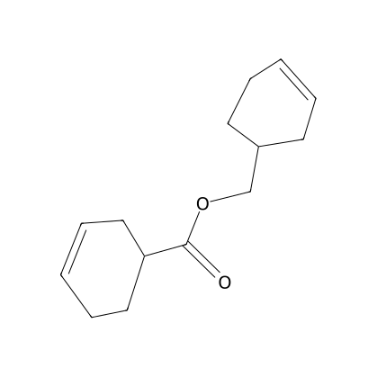 O=C(OCC1CC=CCC1)C1CC=CCC1